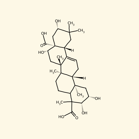 CC1(C)C[C@@H]2C3=CC[C@@H]4[C@@]5(C)C[C@H](O)[C@H](O)C(C)(C(=O)O)C5CC[C@@]4(C)[C@]3(C)C[C@H](O)[C@@]2(C(=O)O)C[C@@H]1O